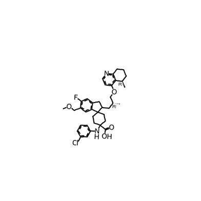 COCc1cc2c(cc1F)CC(C[C@@H](C)COc1ccnc3c1[C@H](C)CCC3)C21CCC(Nc2cccc(Cl)c2)(C(=O)O)CC1